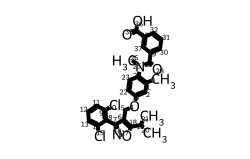 Cc1cc(OCc2c(-c3c(Cl)cccc3Cl)noc2C(C)C)ccc1N(C)C(=O)c1cccc(C(=O)O)c1